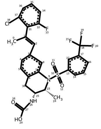 C/C(=C\c1ccc2c(c1)N(S(=O)(=O)c1cccc(C(F)(F)F)c1)[C@H](C)[C@H](NC(=O)O)C2)c1c(F)cccc1Cl